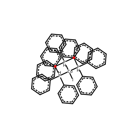 [I][Co]([PH](c1ccccc1)(c1ccccc1)c1ccccc1)([PH](c1ccccc1)(c1ccccc1)c1ccccc1)[PH](c1ccccc1)(c1ccccc1)c1ccccc1